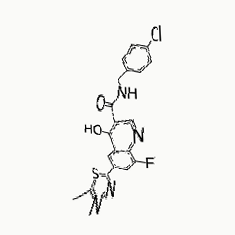 Cc1nnc(-c2cc(F)c3ncc(C(=O)NCc4ccc(Cl)cc4)c(O)c3c2)s1